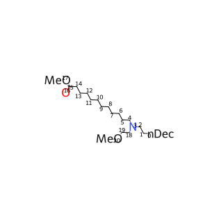 CCCCCCCCCCCCN(CCCCCCCCCCCC(=O)OC)CCOC